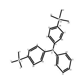 CS(C)(C)c1ccc(N(c2ccccc2)c2ccc(S(C)(C)C)cc2)cc1